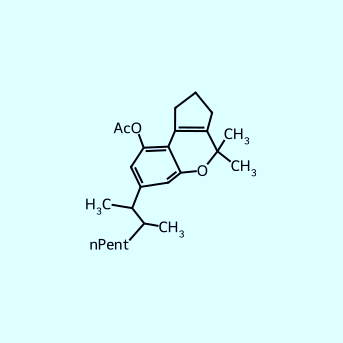 CCCCCC(C)C(C)c1cc(OC(C)=O)c2c(c1)OC(C)(C)C1=C2CCC1